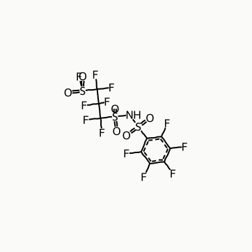 O=S(=O)(NS(=O)(=O)C(F)(F)C(F)(F)C(F)(F)S(=O)(=O)F)c1c(F)c(F)c(F)c(F)c1F